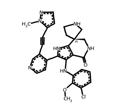 COc1c(Cl)cccc1Nc1c(-c2ccncc2C#Cc2ccnn2C)[nH]c2c1C(=O)NC[C@]21CCNC1